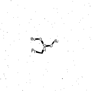 CCC(C)O[SiH](CC(C)C)OC(C)CC